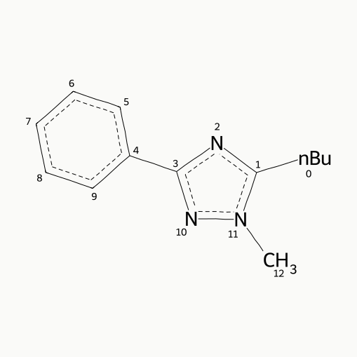 CCCCc1nc(-c2ccccc2)nn1C